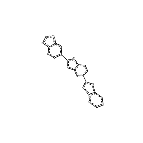 c1cnc2sc(-c3ccc4oc(-c5cnc6ncsc6c5)nc4n3)nc2c1